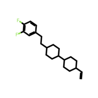 C=CC1CCC(C2CCC(CCc3ccc(F)c(F)c3)CC2)CC1